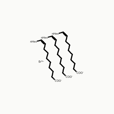 CCCCCC/C=C\CCCCCCCC(=O)[O-].CCCCCC/C=C\CCCCCCCC(=O)[O-].CCCCCC/C=C\CCCCCCCC(=O)[O-].[Er+3]